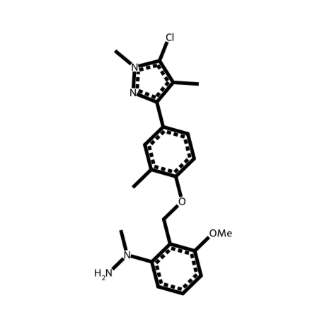 COc1cccc(N(C)N)c1COc1ccc(-c2nn(C)c(Cl)c2C)cc1C